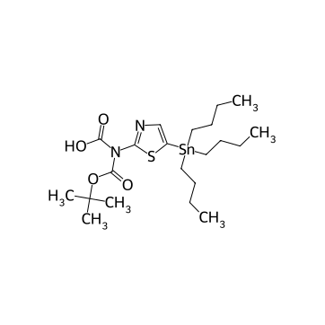 CCC[CH2][Sn]([CH2]CCC)([CH2]CCC)[c]1cnc(N(C(=O)O)C(=O)OC(C)(C)C)s1